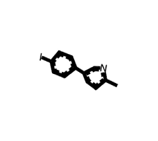 Cc1ccc(-c2ccc(I)cc2)cn1